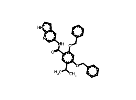 CC(C)c1cc(C(=O)Nc2cnc3[nH]ccc3c2)c(OCc2ccccc2)cc1OCc1ccccc1